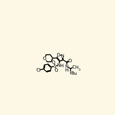 CC(NC(=O)c1noc(C2CCOCC2)c1NS(=O)(=O)c1ccc(Cl)cc1)C(C)(C)C